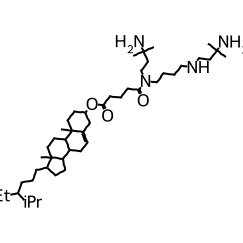 CCC(CCCC1CCC2C3CC=C4CC(OC(=O)CCCC(=O)N(CCCCNCCC(C)(C)N)CCC(C)(C)N)CCC4(C)C3CCC12C)C(C)C